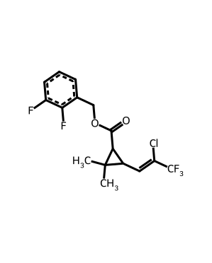 CC1(C)C(C=C(Cl)C(F)(F)F)C1C(=O)OCc1cccc(F)c1F